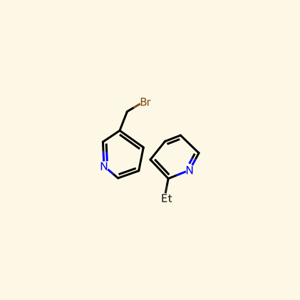 BrCc1cccnc1.CCc1ccccn1